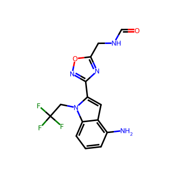 Nc1cccc2c1cc(-c1noc(CNC=O)n1)n2CC(F)(F)F